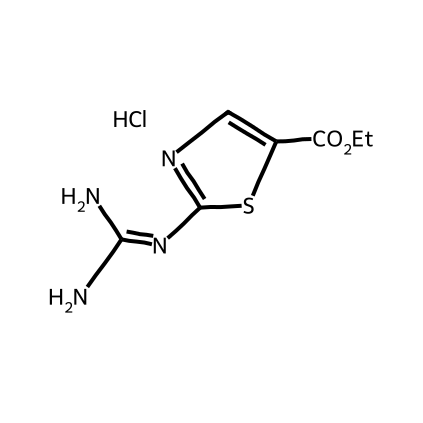 CCOC(=O)c1cnc(N=C(N)N)s1.Cl